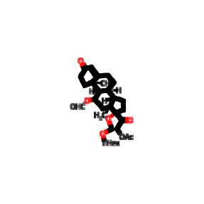 CCCCCCOCO[C@]1(C(=O)COC(C)=O)CC[C@H]2[C@@H]3CCC4=CC(=O)CC[C@]4(C)[C@H]3C(OC=O)C[C@@]21C